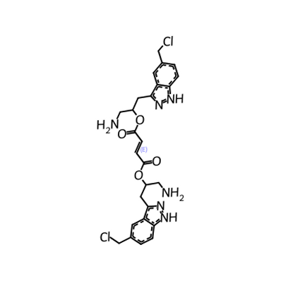 NCC(Cc1n[nH]c2ccc(CCl)cc12)OC(=O)/C=C/C(=O)OC(CN)Cc1n[nH]c2ccc(CCl)cc12